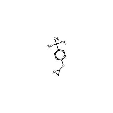 CC(C)(C)c1ccc(OC2CO2)cc1